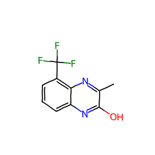 Cc1nc2c(C(F)(F)F)cccc2nc1O